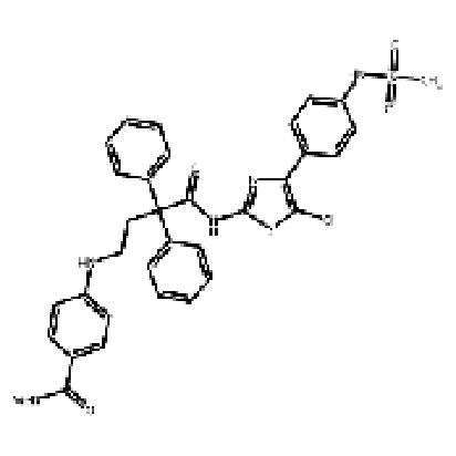 CNC(=O)c1ccc(NCCC(C(=O)Nc2nc(-c3ccc(NS(C)(=O)=O)cc3)c(Cl)s2)(c2ccccc2)c2ccccc2)cc1